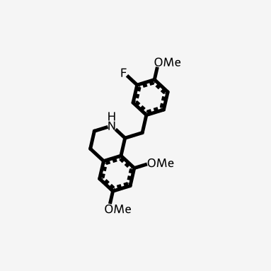 COc1cc2c(c(OC)c1)C(Cc1ccc(OC)c(F)c1)NCC2